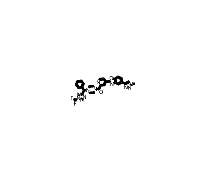 Cn1cc(-c2ccc3oc(-c4ccnc(C(=O)N5CCN(C(c6ccccc6)c6nnn(C(F)F)n6)CC5)c4)nc3c2)nn1